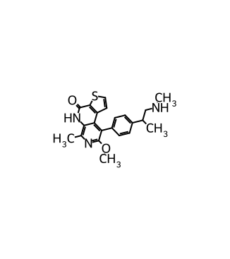 CNCC(C)c1ccc(-c2c(OC)nc(C)c3[nH]c(=O)c4sccc4c23)cc1